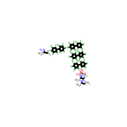 CCC(C)N.CCC(C)N.CCC(C)N.Fc1c(F)c(F)c(-c2c(F)c(F)c(F)c(F)c2F)c(F)c1F.Fc1c(F)c(F)c(-c2c(F)c(F)c(F)c(F)c2F)c(F)c1F.Fc1c(F)c(F)c(-c2c(F)c(F)c(F)c(F)c2F)c(F)c1F.Fc1c(F)c(F)c(-c2c(F)c(F)c(F)c(F)c2F)c(F)c1F.OB(O)O